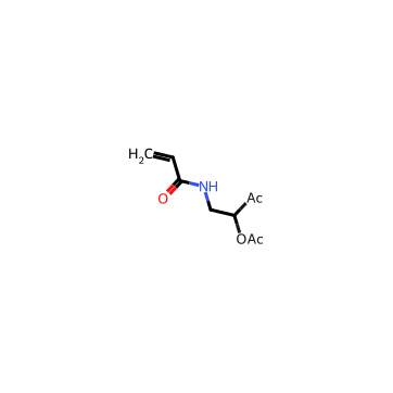 C=CC(=O)NCC(OC(C)=O)C(C)=O